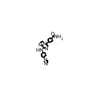 NC(=O)c1ccc(-c2cnc(Nc3ccc(-n4ccnc4)cc3)c3nccn23)cc1